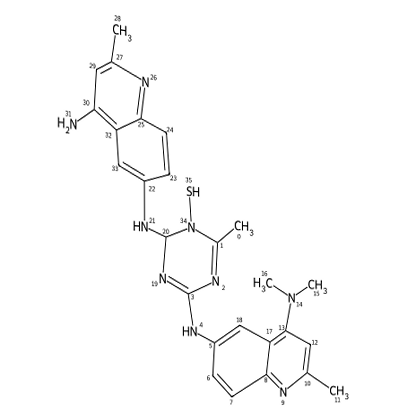 CC1=NC(Nc2ccc3nc(C)cc(N(C)C)c3c2)=NC(Nc2ccc3nc(C)cc(N)c3c2)N1S